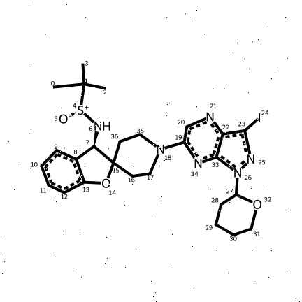 CC(C)(C)[S@@+]([O-])N[C@@H]1c2ccccc2OC12CCN(c1cnc3c(I)nn(C4CCCCO4)c3n1)CC2